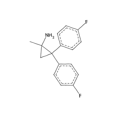 CC1(N)CC1(c1ccc(F)cc1)c1ccc(F)cc1